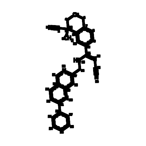 C[C@@]1(C#N)COCc2ccc(C(=NC#N)NCc3cc4nc(-c5ccccc5)ccc4cn3)cc21